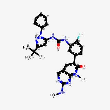 CNc1ncc2cc(-c3ccc(F)c(NC(=O)Nc4cc(C(C)(C)C)nn4-c4ccccc4)c3)c(=O)n(C)c2n1